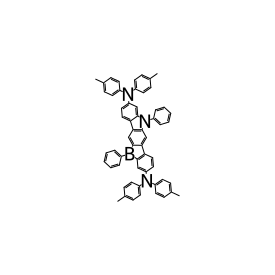 Cc1ccc(N(c2ccc(C)cc2)c2ccc3c(c2)B(c2ccccc2)c2cc4c5ccc(N(c6ccc(C)cc6)c6ccc(C)cc6)cc5n(-c5ccccc5)c4cc2-3)cc1